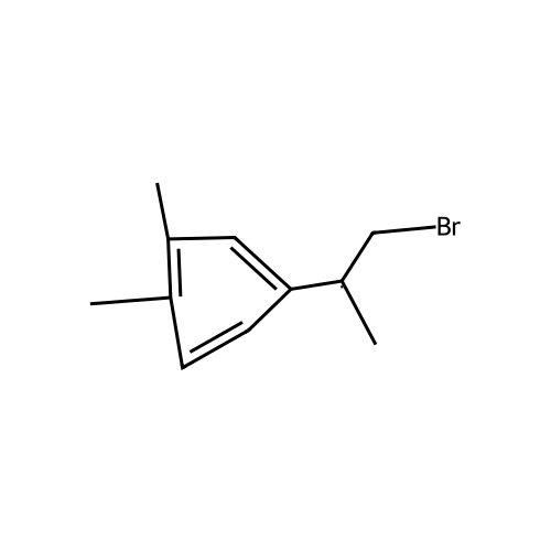 C[C](CBr)c1ccc(C)c(C)c1